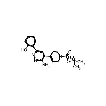 CC(C)(C)OC(=O)N1CC=C(c2cc(-c3ccccc3O)nnc2N)CC1